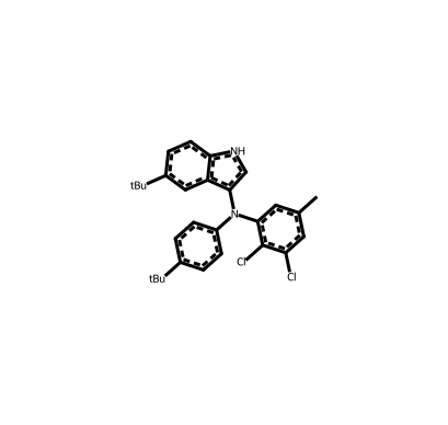 Cc1cc(Cl)c(Cl)c(N(c2ccc(C(C)(C)C)cc2)c2c[nH]c3ccc(C(C)(C)C)cc23)c1